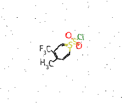 CC1=C(C(F)(F)F)C=S(S(=O)(=O)Cl)C=C1